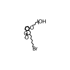 COC(=O)C(CCCCCCBr)Cc1ccccc1OCCCC(C)(C)O